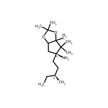 CC[C@H](C)CC[C@]1(N)CC2OC(C)(C)OC2(C)C1(C)C